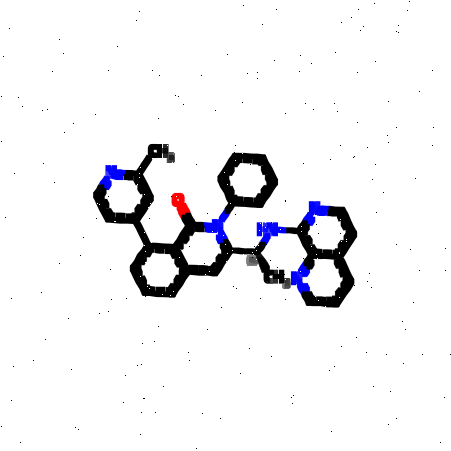 Cc1cc(-c2cccc3cc([C@H](C)Nc4nccc5cccnc45)n(-c4ccccc4)c(=O)c23)ccn1